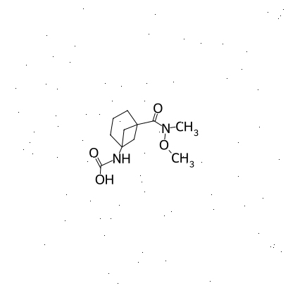 CON(C)C(=O)C12CCCC(NC(=O)O)(C1)C2